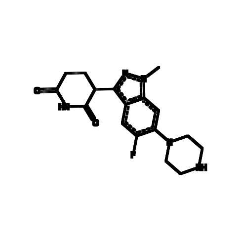 Cn1nc(C2CCC(=O)NC2=O)c2cc(F)c(N3CCNCC3)cc21